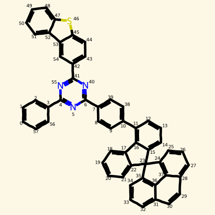 c1ccc(-c2nc(-c3ccc(-c4cccc5c4-c4ccccc4C54c5cccc6ccc7cccc4c7c56)cc3)nc(-c3ccc4sc5ccccc5c4c3)n2)cc1